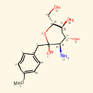 COc1ccc(CC2(O)O[C@H](CO)[C@@H](O)[C@H](O)[C@H]2N)cc1